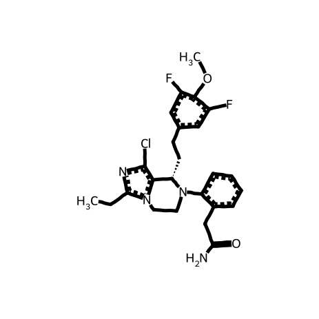 CCc1nc(Cl)c2n1CCN(c1ccccc1CC(N)=O)[C@H]2CCc1cc(F)c(OC)c(F)c1